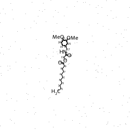 C=CCCCCCCCCC(=O)OCC(=O)NCc1ccc(OC)c(OC)c1